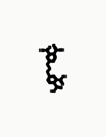 O=C(O)c1ccc(CCCc2ccc(C(=O)O)c(C(=O)O)c2)cc1C(=O)O